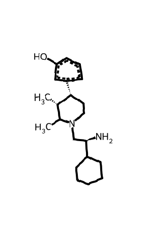 CC1[C@H](C)[C@H](c2cccc(O)c2)CCN1C[C@@H](N)C1CCCCC1